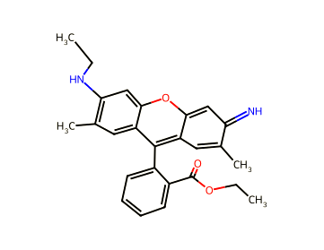 CCNc1cc2oc3cc(=N)c(C)cc-3c(-c3ccccc3C(=O)OCC)c2cc1C